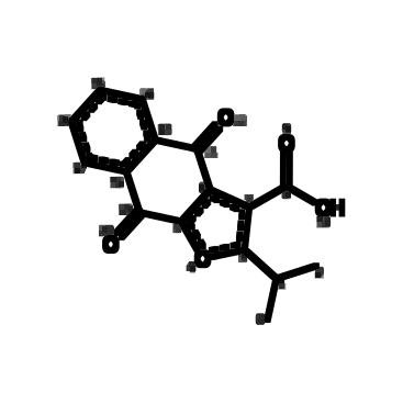 CC(C)c1oc2c(c1C(=O)O)C(=O)c1ccccc1C2=O